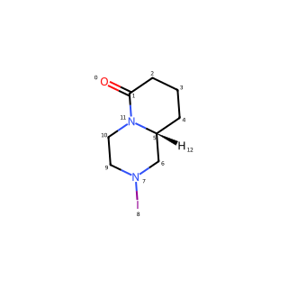 O=C1CCC[C@@H]2CN(I)CCN12